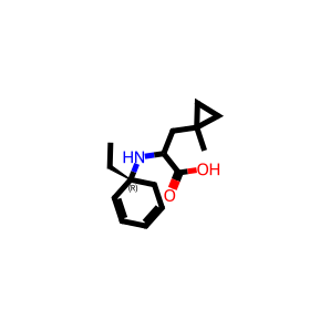 CC[C@]1(NC(CC2(C)CC2)C(=O)O)C=CC=CC1